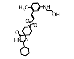 Cc1ccc(NCCO)cc1/C=C/S(=O)(=O)N1CCC2(CC1)N=C(C1CCCCC1)NC2=O